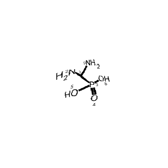 NC(N)P(=O)(O)O